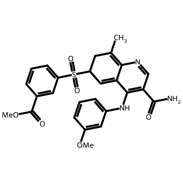 COC(=O)c1cccc(S(=O)(=O)C2C=c3c(Nc4cccc(OC)c4)c(C(N)=O)cnc3=C(C)C2)c1